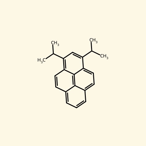 CC(C)c1cc(C(C)C)c2ccc3cccc4ccc1c2c43